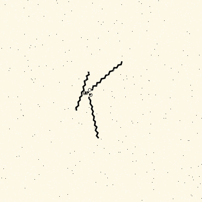 CCCCCCCCCCCCCCCC.CCCCCCCCCCCCCCCCO[PH](=O)OCCCCCCCCCCCCCCCC